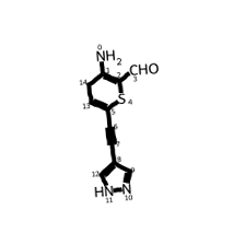 NC1=C(C=O)SC(C#Cc2cn[nH]c2)=CC1